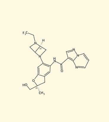 C[C@@]1(CO)Cc2cc(NC(=O)c3cnn4cccnc34)c(N3C[C@H]4C3CN4CC(F)(F)F)cc2O1